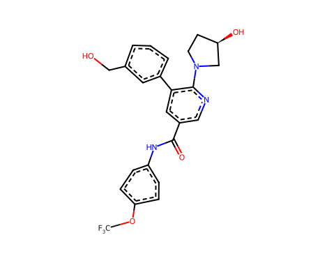 O=C(Nc1ccc(OC(F)(F)F)cc1)c1cnc(N2CC[C@@H](O)C2)c(-c2cccc(CO)c2)c1